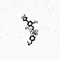 CC(C)c1cc(-c2cnn(C)c2)cc(C(C)C)c1CC(=O)NS(=O)(=O)c1ccc(CN(C)C)cc1